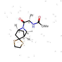 COC(=O)N[C@H](C(=O)N1[C@H]2C[C@@H]([C@H]1C)C1(C2)SCCS1)C(C)C